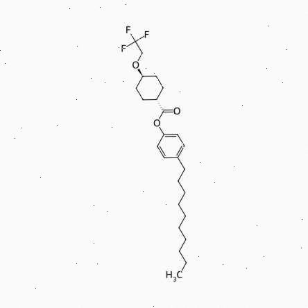 CCCCCCCCCCc1ccc(OC(=O)[C@H]2CC[C@H](OCC(F)(F)F)CC2)cc1